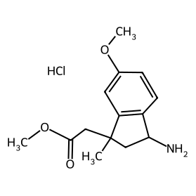 COC(=O)CC1(C)CC(N)c2ccc(OC)cc21.Cl